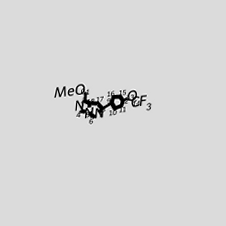 COCc1ncn2cnc(-c3ccc(OC(F)(F)F)cc3)cc12